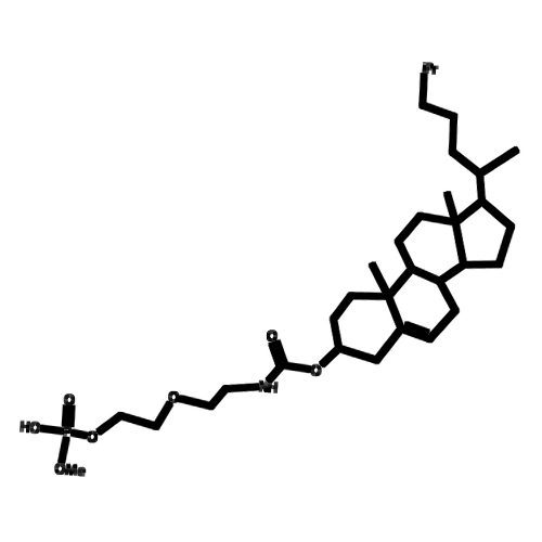 COP(=O)(O)OCCOCCNC(=O)OC1CCC2(C)C(=CCC3C2CCC2(C)C(C(C)CCCC(C)C)CCC32)C1